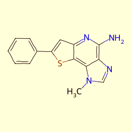 Cn1cnc2c(N)nc3cc(-c4ccccc4)sc3c21